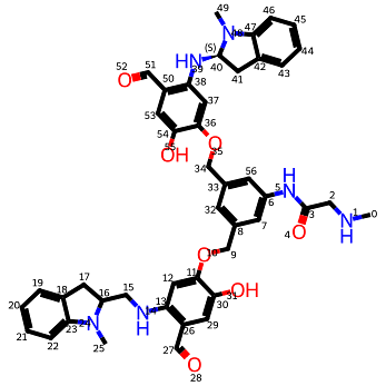 CNCC(=O)Nc1cc(COc2cc(NCC3Cc4ccccc4N3C)c(C=O)cc2O)cc(COc2cc(N[C@@H]3Cc4ccccc4N3C)c(C=O)cc2O)c1